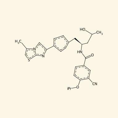 Cc1csc2nc(-c3ccc(C[C@@H](CC(C)O)NC(=O)c4ccc(OC(C)C)c(C#N)c4)cc3)cn12